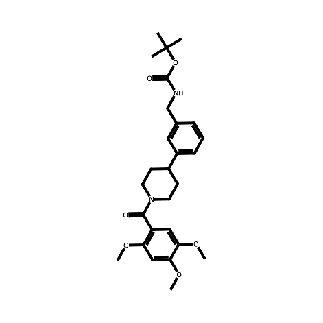 COc1cc(OC)c(C(=O)N2CCC(c3cccc(CNC(=O)OC(C)(C)C)c3)CC2)cc1OC